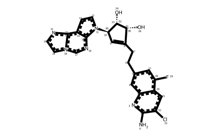 Nc1nc2cc(CCC3=C[C@@H](n4ccc5c4ncn4ccnc54)[C@H](O)[C@@H]3O)cc(F)c2cc1Cl